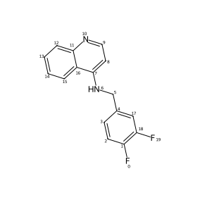 Fc1ccc(CNc2ccnc3ccccc23)cc1F